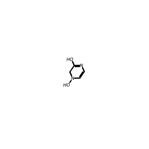 OC1=NC=CN(O)C1